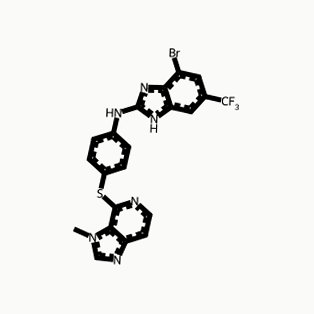 Cn1cnc2ccnc(Sc3ccc(Nc4nc5c(Br)cc(C(F)(F)F)cc5[nH]4)cc3)c21